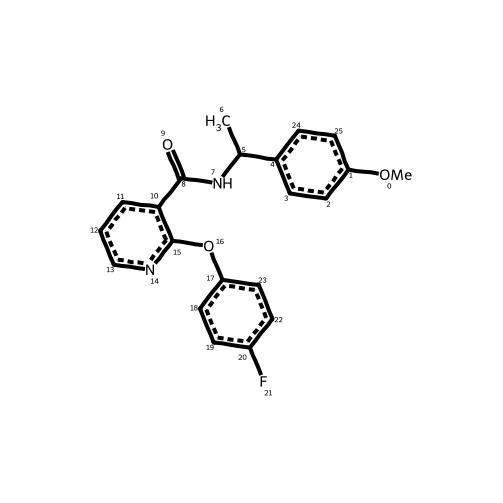 COc1ccc(C(C)NC(=O)c2cccnc2Oc2ccc(F)cc2)cc1